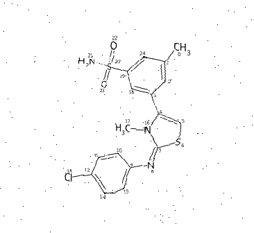 Cc1cc(-c2csc(=Nc3ccc(Cl)cc3)n2C)cc(S(N)(=O)=O)c1